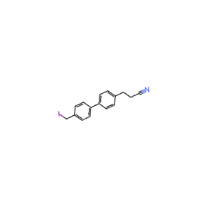 N#CCCc1ccc(-c2ccc(CI)cc2)cc1